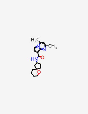 Cc1cc(C)n2ccc(C(=O)NC3CCC4(CCCCO4)C3)c2n1